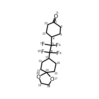 O=C1CCC(C(F)(F)C(F)(F)C2CCC3(CC2)OCCO3)CC1